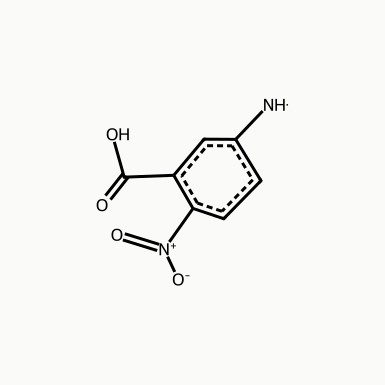 [NH]c1ccc([N+](=O)[O-])c(C(=O)O)c1